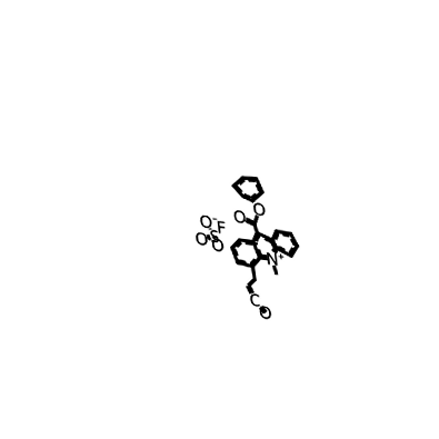 C[n+]1c2ccccc2c(C(=O)Oc2ccccc2)c2cccc(CC=C=O)c21.O=S(=O)([O-])F